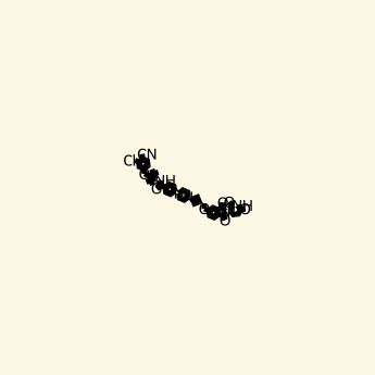 CC1(C)C(NC(=O)c2ccc(N3CCN([C@H]4C[C@@H](COc5ccc6c(c5)C(=O)N(C5CCC(=O)NC5=O)C6=O)C4)CC3)cc2)C(C)(C)C1Oc1ccc(C#N)c(Cl)c1